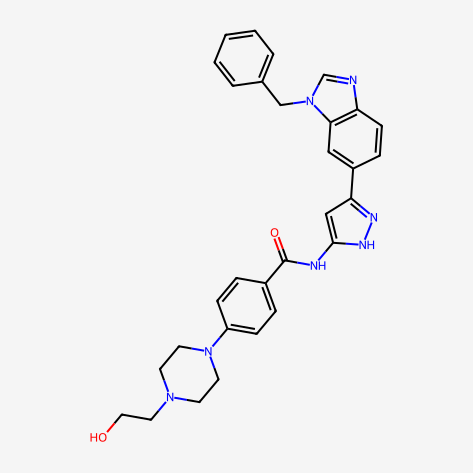 O=C(Nc1cc(-c2ccc3ncn(Cc4ccccc4)c3c2)n[nH]1)c1ccc(N2CCN(CCO)CC2)cc1